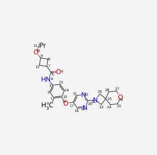 Cc1cc(NC(=O)C2CC(OC(C)C)C2)ccc1Oc1cnc(N2CC3(CCOCC3)C2)nc1